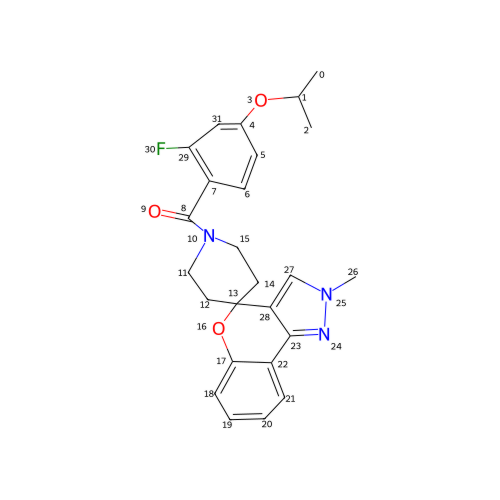 CC(C)Oc1ccc(C(=O)N2CCC3(CC2)Oc2ccccc2-c2nn(C)cc23)c(F)c1